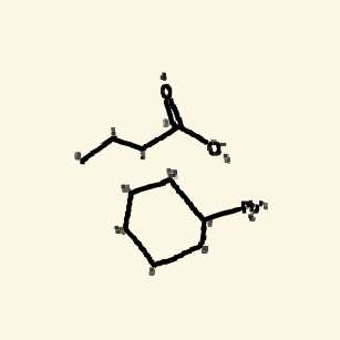 CCCC(=O)[O-].[Pb+][CH]1CCCCC1